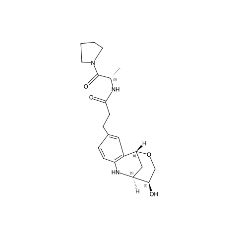 C[C@H](NC(=O)CCc1ccc2c(c1)[C@H]1C[C@H](N2)[C@H](O)CO1)C(=O)N1CCCC1